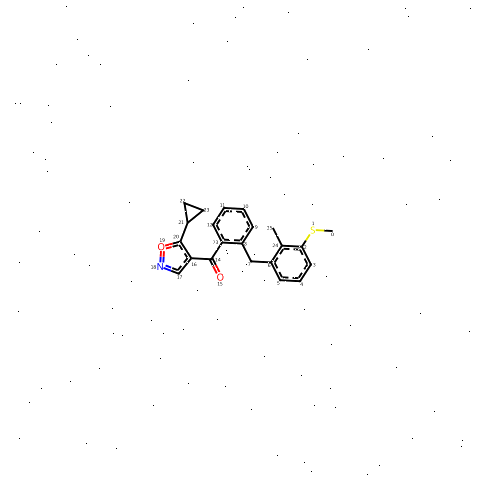 CSc1cccc(Cc2ccccc2C(=O)c2cnoc2C2CC2)c1C